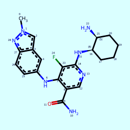 Cn1cc2cc(Nc3c(C(N)=O)cnc(N[C@@H]4CCCC[C@@H]4N)c3F)ccc2n1